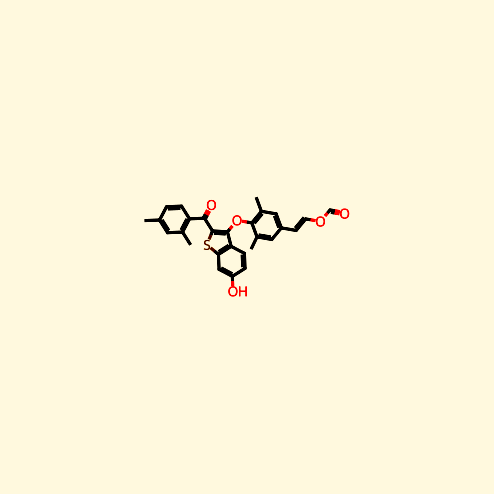 Cc1ccc(C(=O)c2sc3cc(O)ccc3c2Oc2c(C)cc(/C=C/OC=O)cc2C)c(C)c1